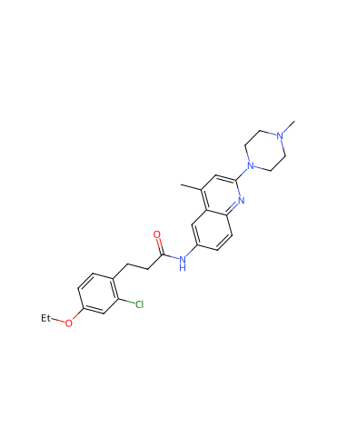 CCOc1ccc(CCC(=O)Nc2ccc3nc(N4CCN(C)CC4)cc(C)c3c2)c(Cl)c1